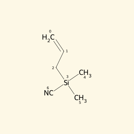 C=CC[Si](C)(C)C#N